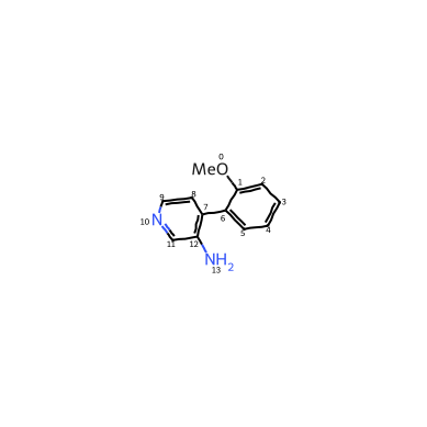 COc1ccccc1-c1ccncc1N